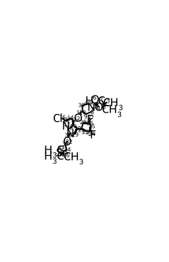 CC(C)(C)OC(=O)N1CCC(COc2cc(Cl)nc3c2c(-c2cc(F)cc(F)c2)cn3COCC[Si](C)(C)C)CC1